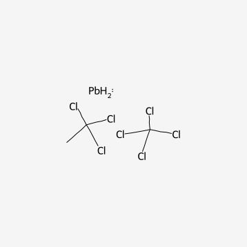 CC(Cl)(Cl)Cl.ClC(Cl)(Cl)Cl.[PbH2]